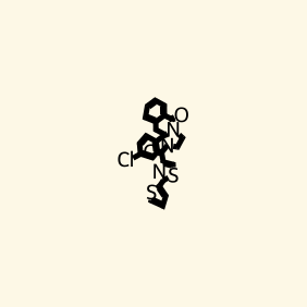 O=C(c1csc(-c2cccs2)n1)N1CCN2C(=O)c3ccccc3CC12c1ccc(Cl)cc1